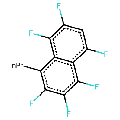 [CH2]CCc1c(F)c(F)c(F)c2c(F)cc(F)c(F)c12